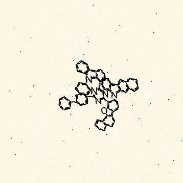 c1ccc(-c2ccc(-c3nc(-c4c(-n5c6ccccc6c6cc7ccccc7cc65)ccc5c4oc4c6ccccc6ccc54)nc(-c4cccc5c6ccccc6n(-c6ccccc6)c45)n3)cc2)cc1